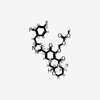 COC(=O)OCOc1c2n(cc(-c3nnc(Cc4ccc(F)cc4F)s3)c1=O)C[C@@H]1OCC[C@@H](C)N1C2=O